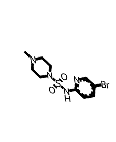 CN1CCN(S(=O)(=O)Nc2ccc(Br)cn2)CC1